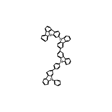 c1ccc(-n2c3ccccc3c3ccc(-c4ccc(-n5c6ccccc6c6cc(-c7ccc8c(c7)c7ccccc7n8-c7ccc8c9cccc%10c%11ccccc%11n(c8c7)c%109)ccc65)cc4)cc32)cc1